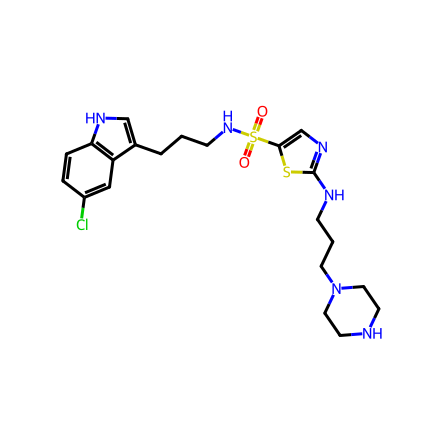 O=S(=O)(NCCCc1c[nH]c2ccc(Cl)cc12)c1cnc(NCCCN2CCNCC2)s1